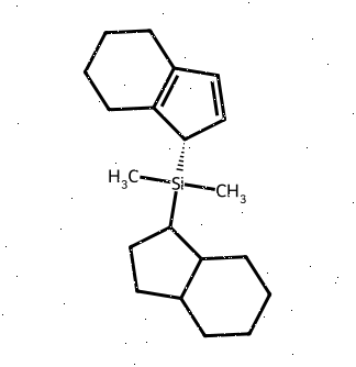 C[Si](C)(C1CCC2CCCCC21)[C@H]1C=CC2=C1CCCC2